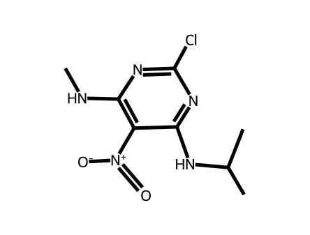 CNc1nc(Cl)nc(NC(C)C)c1[N+](=O)[O-]